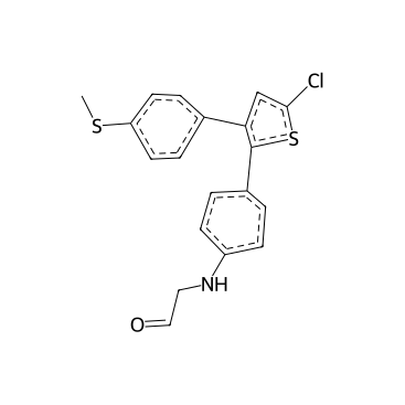 CSc1ccc(-c2cc(Cl)sc2-c2ccc(NCC=O)cc2)cc1